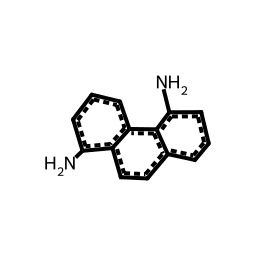 Nc1cccc2c1ccc1cccc(N)c12